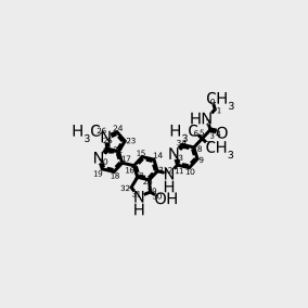 CCNC(=O)C(C)(C)c1ccc(Nc2ccc(-c3ccnc4c3ccn4C)c3c2C(O)NC3)nc1